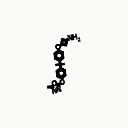 Cc1nnc(Oc2ccc(C(C)(C)c3ccc(OC4CC(N)C4)cc3)cc2)o1